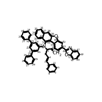 C=CC(C/C=C/c1ccccc1)N(c1cc(-c2ccccc2)cc(-c2ccccc2)c1)c1c2ccccc2cc2oc3cc(-c4nc5ccccc5o4)ccc3c12